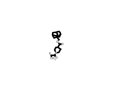 CC(F)C(=O)N1CCC(C(=O)OCC23CC4CC(CC(C4)C2)C3)CC1